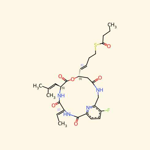 C/C=C1\NC(=O)c2ccc(F)c(n2)CNC(=O)C[C@@H](/C=C/CCSC(=O)CCC)OC(=O)[C@H](C=C(C)C)NC1=O